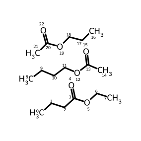 CCCC(=O)OCC.CCCCOC(C)=O.CCCOC(C)=O